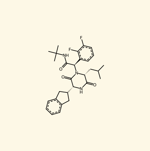 CC(C)C[C@@H]1C(=O)N[C@H](C2Cc3ccccc3C2)C(=O)N1[C@@H](C(=O)NC(C)(C)C)c1cccc(F)c1F